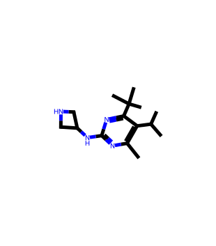 Cc1nc(NC2CNC2)nc(C(C)(C)C)c1C(C)C